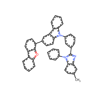 Cc1ccc2c(c1)nc(-c1cccc(-n3c4ccccc4c4cc(-c5cccc6c5oc5ccccc56)ccc43)c1)n2-c1ccccc1